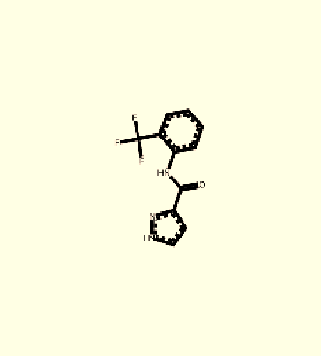 O=C(Nc1ccccc1C(F)(F)F)c1cc[nH]n1